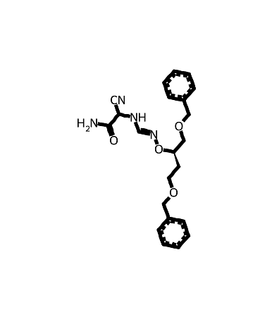 N#CC(NC=NO[C@H](CCOCc1ccccc1)COCc1ccccc1)C(N)=O